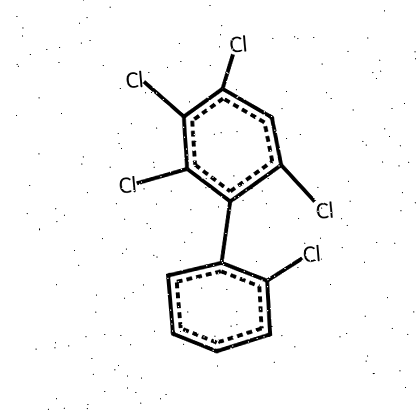 Clc1ccccc1-c1c(Cl)cc(Cl)c(Cl)c1Cl